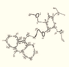 COCc1cc(C(C)C)cc(COC)c1OCCOc1c2ccccc2c(C)c2ccccc12